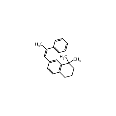 CC(=Cc1ccc2c(c1)C(C)(C)CCC2)c1ccccc1